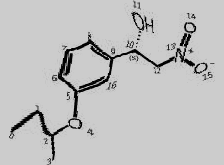 CCC(C)Oc1cccc([C@H](O)C[N+](=O)[O-])c1